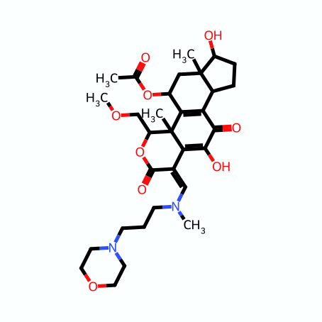 COCC1OC(=O)C(=CN(C)CCCN2CCOCC2)C2=C(O)C(=O)C3=C(C(OC(C)=O)CC4(C)C(O)CCC34)C21C